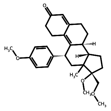 COC[C@]1(OC)CC[C@H]2[C@@H]3CCC4=CC(=O)CCC4=C3[C@@H](c3ccc(OC)cc3)CC21C